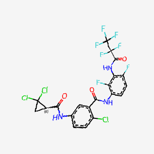 O=C(Nc1ccc(F)c(NC(=O)C(F)(F)C(F)(F)F)c1F)c1cc(NC(=O)[C@H]2CC2(Cl)Cl)ccc1Cl